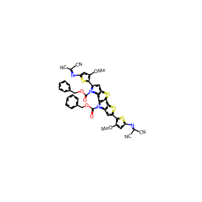 COc1cc(N=C(C#N)C#N)sc1-c1cc2c(s1)c1sc3cc(-c4sc(N=C(C#N)C#N)cc4OC)n(C(=O)OCc4ccccc4)c3c1n2C(=O)OCc1ccccc1